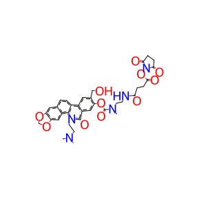 CN(C)CCn1c(=O)c2cc(OC(=O)N(C)CCNC(=O)CCC(=O)ON3C(=O)CCC3=O)c(CO)cc2c2ccc3cc4c(cc3c21)OCO4